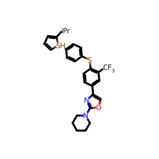 CC(C)C1=CC=C[SH]1c1ccc(Sc2ccc(-c3coc(N4CCCCC4)n3)cc2C(F)(F)F)cc1